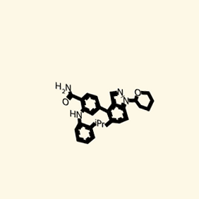 Cc1ccc2c(cnn2C2CCCCO2)c1-c1ccc(C(N)=O)c(Nc2ccccc2C(C)C)c1